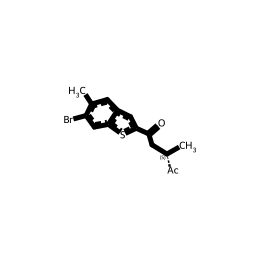 CC(=O)[C@@H](C)CC(=O)c1cc2cc(C)c(Br)cc2s1